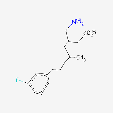 CC(CCc1cccc(F)c1)CC(CN)CC(=O)O